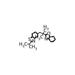 CC(C)c1nc2cc(CC(C)(C)c3nc4ccccc4o3)ccc2s1